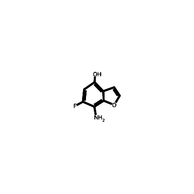 Nc1c(F)cc(O)c2ccoc12